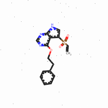 C=CS(=O)(=O)c1c[nH]c2ncnc(OCCc3ccccc3)c12